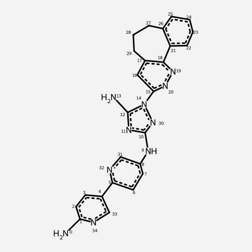 Nc1ccc(-c2ccc(Nc3nc(N)n(-c4cc5c(nn4)-c4ccccc4CCC5)n3)cn2)cn1